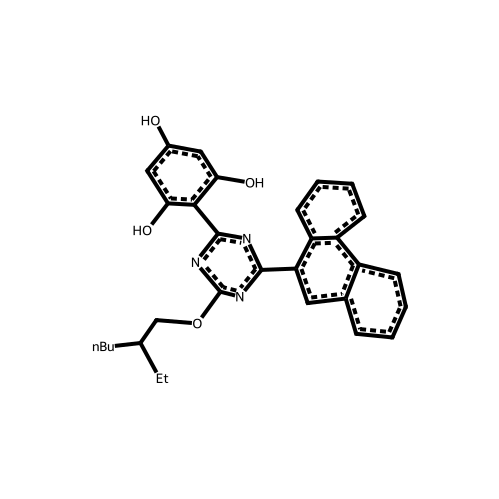 CCCCC(CC)COc1nc(-c2c(O)cc(O)cc2O)nc(-c2cc3ccccc3c3ccccc23)n1